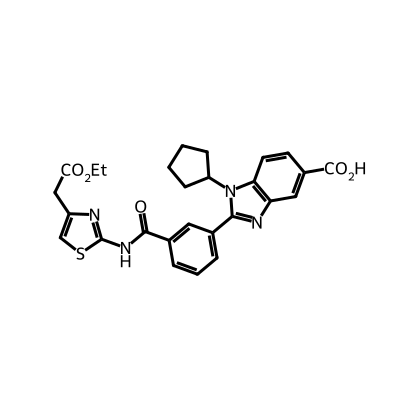 CCOC(=O)Cc1csc(NC(=O)c2cccc(-c3nc4cc(C(=O)O)ccc4n3C3CCCC3)c2)n1